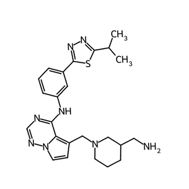 CC(C)c1nnc(-c2cccc(Nc3ncnn4ccc(CN5CCCC(CN)C5)c34)c2)s1